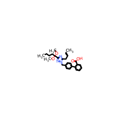 C/C=C/Cc1nc(C(CCCC)(OC)OC)nn1Cc1ccc(-c2ccccc2C(=O)O)cc1